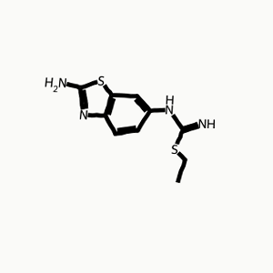 CCSC(=N)Nc1ccc2nc(N)sc2c1